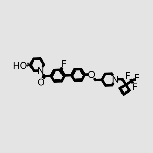 O=C(c1ccc(-c2ccc(OCC3CCN(CC4(C(F)(F)F)CCC4)CC3)cc2)c(F)c1)N1CCC[C@@H](O)C1